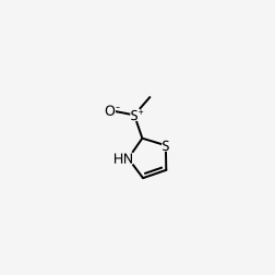 C[S+]([O-])C1NC=CS1